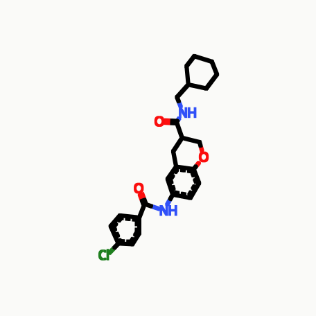 O=C(Nc1ccc2c(c1)CC(C(=O)NCC1CCCCC1)CO2)c1ccc(Cl)cc1